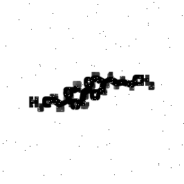 CCCCC[C@H]1CO[C@H]([C@H]2CO[C@H](CCC)OC2)OC1